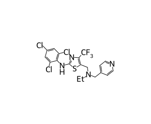 CCN(Cc1ccncc1)Cc1sc(Nc2c(Cl)cc(Cl)cc2Cl)nc1C(F)(F)F